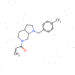 C=CC(=O)N1CCC2CCN(Cc3ccc(C(F)(F)F)cc3)C2C1